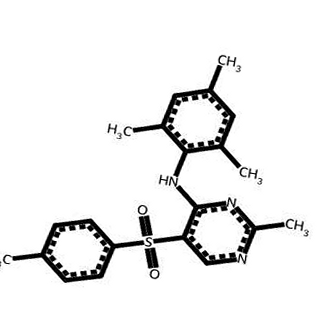 Cc1ccc(S(=O)(=O)c2cnc(C)nc2Nc2c(C)cc(C)cc2C)cc1